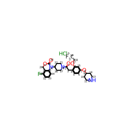 Cl.O=C(Cc1ccc(OC2CCNCC2)cc1OCC(F)(F)F)N1CCC(N2C(=O)OCc3c(F)cccc32)CC1